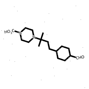 CC(C)(CCC1CCC(C=O)CC1)N1CCN(C(=O)O)CC1